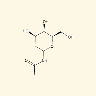 CC(=O)N[C]1C[C@@H](O)[C@@H](O)[C@@H](CO)O1